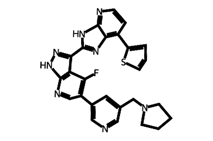 Fc1c(-c2cncc(CN3CCCC3)c2)cnc2[nH]nc(-c3nc4c(-c5cccs5)ccnc4[nH]3)c12